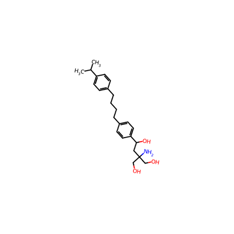 CC(C)c1ccc(CCCCc2ccc(C(O)CC(N)(CO)CO)cc2)cc1